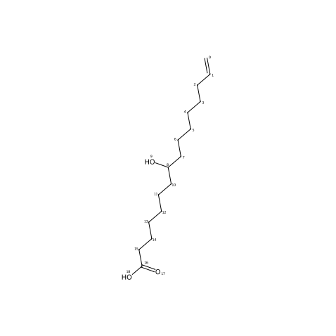 C=CCCCCCCC(O)CCCCCCC(=O)O